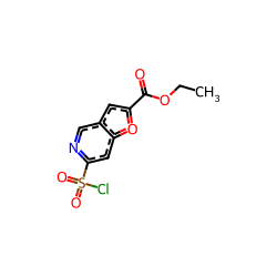 CCOC(=O)c1cc2cnc(S(=O)(=O)Cl)cc2o1